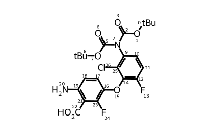 CC(C)(C)OC(=O)N(C(=O)OC(C)(C)C)c1ccc(F)c(Oc2ccc(N)c(C(=O)O)c2F)c1Cl